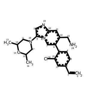 C=Cc1ccc(-c2cn3c(N4CC(C)OC(C)C4)cnc3cc2CN)c(Cl)c1